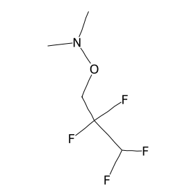 CN(C)OCC(F)(F)C(F)F